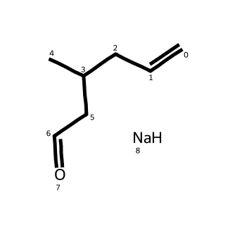 C=CCC(C)CC=O.[NaH]